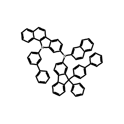 c1ccc(-c2ccc(C3(c4ccccc4)c4ccccc4-c4ccc(N(c5ccc6ccccc6c5)c5ccc6c7ccc8ccccc8c7n(-c7cccc(-c8ccccc8)c7)c6c5)cc43)cc2)cc1